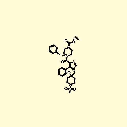 CC(C)(C)OC(=O)N1CCN(C(=O)c2ncn(CC3(O)CCN(S(C)(=O)=O)CC3)c2-c2ccccc2)[C@H](Cc2ccccc2)C1